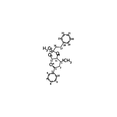 CC(CC(=O)c1ccccc1)C1COC(C)(CCc2ccccc2)O1